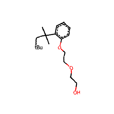 CC(C)(C)CC(C)(C)c1ccccc1OCCOCCO